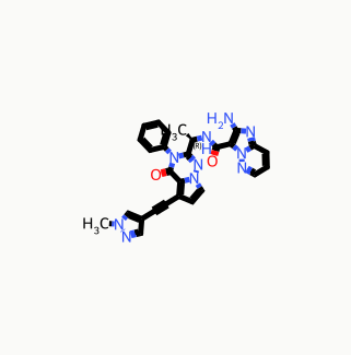 C[C@@H](NC(=O)c1c(N)nc2cccnn12)c1nn2ccc(C#Cc3cnn(C)c3)c2c(=O)n1-c1ccccc1